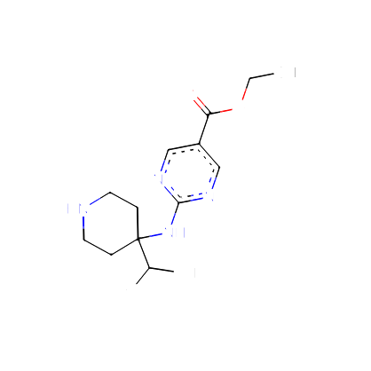 CCOC(=O)c1cnc(NC2(C(C)C)CCNCC2)nc1